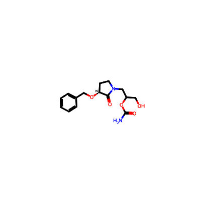 NC(=O)OC(CO)CN1CC[C@H](OCc2ccccc2)C1=O